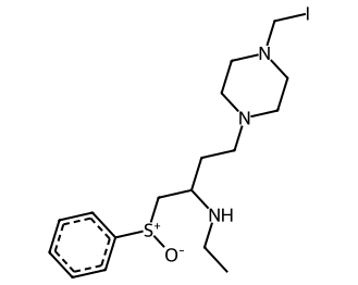 CCNC(CCN1CCN(CI)CC1)C[S+]([O-])c1ccccc1